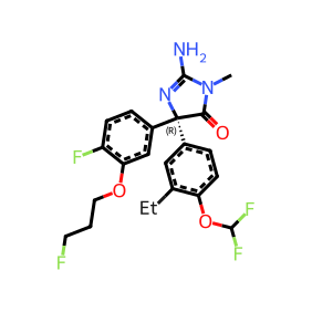 CCc1cc([C@]2(c3ccc(F)c(OCCCF)c3)N=C(N)N(C)C2=O)ccc1OC(F)F